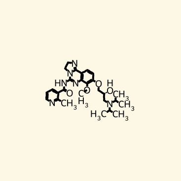 COc1c(OC[C@H](O)CN(C(C)C)C(C)C)ccc2c1N=C(NC(=O)c1cccnc1C)N1CCN=C21